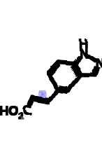 O=C(O)/C=C/c1ccc2[nH]ncc2c1